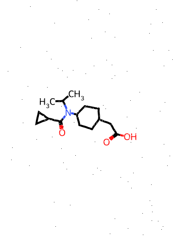 CC(C)N(C(=O)C1CC1)C1CCC(CC(=O)O)CC1